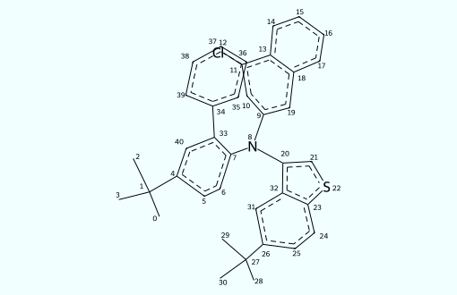 CC(C)(C)c1ccc(N(c2cc(Cl)c3ccccc3c2)c2csc3ccc(C(C)(C)C)cc23)c(-c2ccccc2)c1